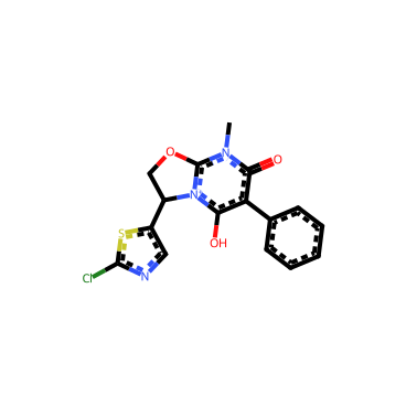 Cn1c2[n+](c(O)c(-c3ccccc3)c1=O)C(c1cnc(Cl)s1)CO2